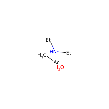 CC(C)=O.CCNCC.O